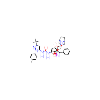 Cc1ccc(-n2nc(C(C)(C)C)cc2NC(=O)Nc2ccc(CC3CC4CCC(C3)N4CC(=O)c3c(-c4ccccc4)noc3C)cc2)cc1